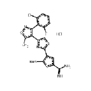 CSc1sc(C(=N)N)cc1-c1nc(-c2c(-c3c(F)cccc3Cl)noc2C)cs1.Cl